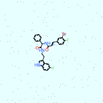 O=C(/C=C/c1ccc(F)c(Br)c1)NC(C(=O)NCCc1c[nH]c2ccc(F)cc12)c1ccccc1